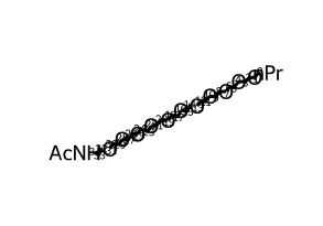 CCCOCCOCCOCCOCCOCCOCCOCCOCCOCCOCCOCCNC(C)=O